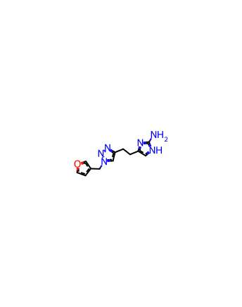 Nc1nc(CCc2cn(Cc3ccoc3)nn2)c[nH]1